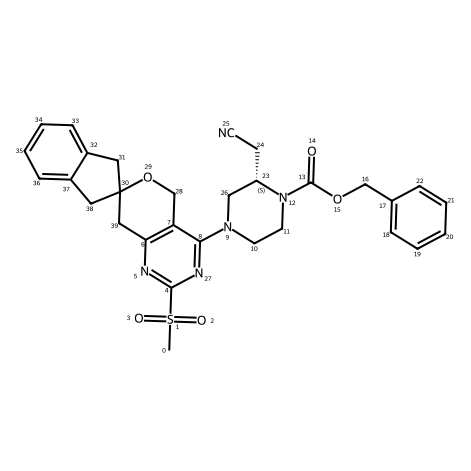 CS(=O)(=O)c1nc2c(c(N3CCN(C(=O)OCc4ccccc4)[C@@H](CC#N)C3)n1)COC1(Cc3ccccc3C1)C2